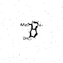 COc1ncnc2ccc(C=O)cc12